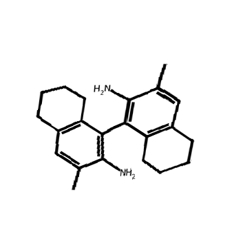 Cc1cc2c(c(-c3c(N)c(C)cc4c3CCCC4)c1N)CCCC2